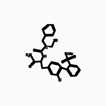 CC(=O)NS(=O)(=O)c1ccccc1-c1ccc(CC(NC(=O)[C@@H](CS)Cc2ccccc2)C(N)=O)cc1Cl